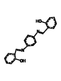 Oc1ccccc1C=Nc1ccc(N=Cc2ccccc2O)cc1